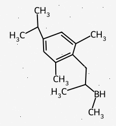 CBC(C)Cc1c(C)cc(C(C)C)cc1C